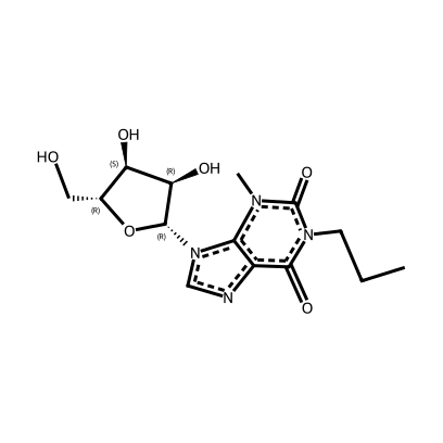 CCCn1c(=O)c2ncn([C@@H]3O[C@H](CO)[C@@H](O)[C@H]3O)c2n(C)c1=O